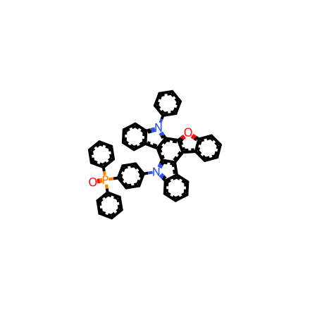 O=P(c1ccccc1)(c1ccccc1)c1ccc(-n2c3ccccc3c3c4c5ccccc5oc4c4c(c5ccccc5n4-c4ccccc4)c32)cc1